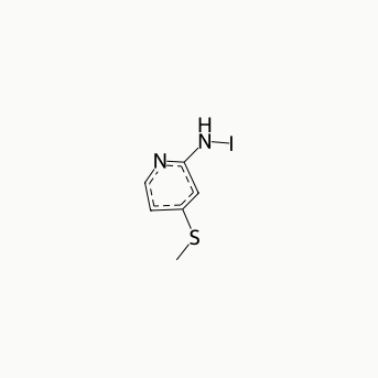 CSc1ccnc(NI)c1